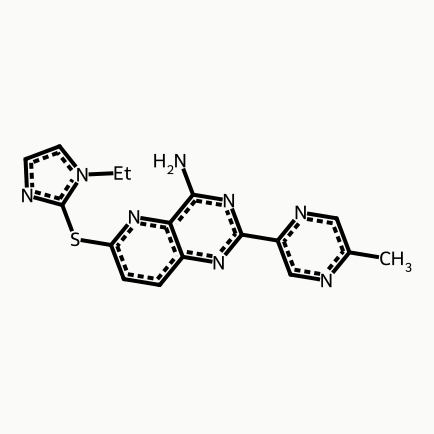 CCn1ccnc1Sc1ccc2nc(-c3cnc(C)cn3)nc(N)c2n1